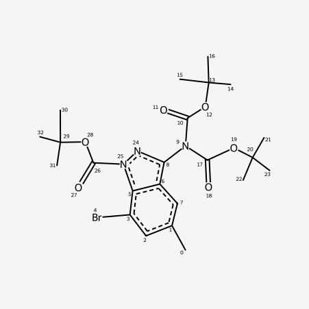 Cc1cc(Br)c2c(c1)c(N(C(=O)OC(C)(C)C)C(=O)OC(C)(C)C)nn2C(=O)OC(C)(C)C